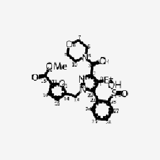 CCc1c(C(=O)N2CCOCC2)nn(Cc2ccc(C(=O)OC)o2)c1-c1ccccc1S(=O)O